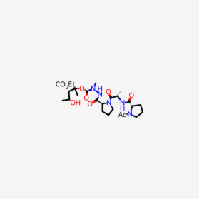 CCOC(=O)C(C)(CC(C)O)OC(=O)N(C)NC(=O)[C@@H]1CCCN1C(=O)[C@H](C)NC(=O)[C@@H]1CCCN1C(C)=O